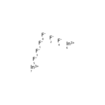 [F-].[F-].[F-].[F-].[F-].[F-].[In+3].[In+3]